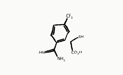 N=C(N)c1ccc(C(F)(F)F)cc1.O=C(O)CS